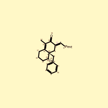 CCCC(C)/C=C1\C[C@@]2(Cc3ccccc3)C(=C(C)C1=O)CCC[C@@H]2O